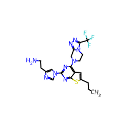 CCCc1cc2c(N3CCn4c(nnc4C(F)(F)F)C3)nc(-n3cnc(CCN)c3)nc2s1